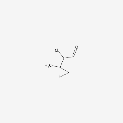 CC1(C(Cl)C=O)CC1